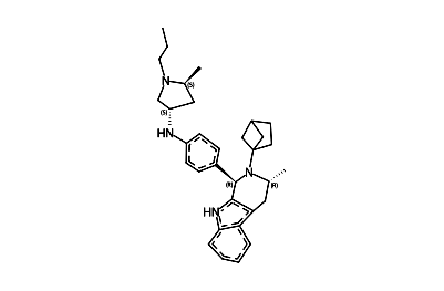 CCCN1C[C@@H](Nc2ccc([C@@H]3c4[nH]c5ccccc5c4C[C@@H](C)N3C34CCC(C3)C4)cc2)C[C@@H]1C